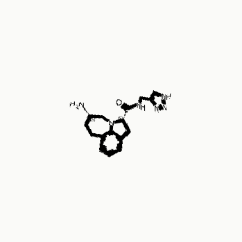 N[C@H]1CCc2cccc3c2N(C1)[C@H](C(=O)NCc1c[nH]nn1)C3